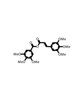 COc1cc(/C=C/C(=O)OC(=O)c2cc(OC)c(OC)c(OC)c2)cc(OC)c1OC